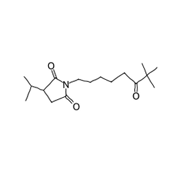 CC(C)C1CC(=O)N(CCCCCC(=O)C(C)(C)C)C1=O